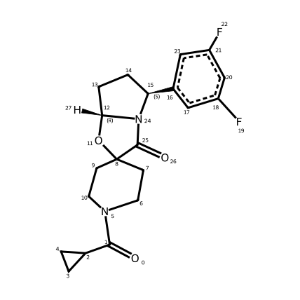 O=C(C1CC1)N1CCC2(CC1)O[C@@H]1CC[C@@H](c3cc(F)cc(F)c3)N1C2=O